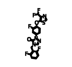 O=c1n(Cc2c(F)cccc2F)cnn1-c1ccc(Oc2scnc2C(F)F)c(F)c1